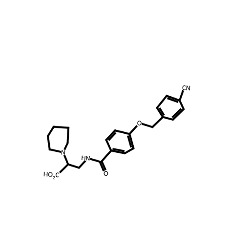 N#Cc1ccc(COc2ccc(C(=O)NCC(C(=O)O)N3CCCCC3)cc2)cc1